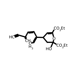 C#CC(=C)/C=C\C(=C/C)C1C=C(C(=O)OCC)OC(O)(C(=O)OCC)C1